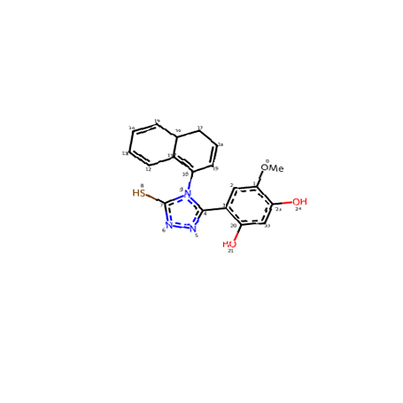 COc1cc(-c2nnc(S)n2C2=C3C=CC=CC3CC=C2)c(O)cc1O